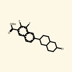 CCC1CCC2CC(c3ccc4cc(C(=O)OC)c(F)c(F)c4c3)CCC2C1